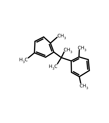 Cc1ccc(C)c(C(C)(C)c2cc(C)ccc2C)c1